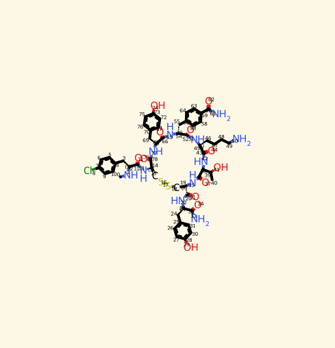 CN[C@@H](Cc1ccc(Cl)cc1)C(=O)N[C@@H]1CSSC[C@@H](C(=O)N[C@H](Cc2ccc(O)cc2)C(N)=O)NC(=O)C(C(C)O)NC(=O)[C@H](CCCCN)NC(=O)[C@@H](Cc2ccc(C(N)=O)cc2)NC(=O)[C@H](Cc2ccc(O)cc2)NC1=O